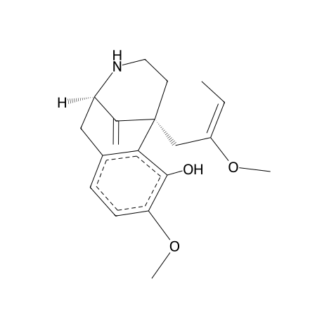 C=C1[C@H]2Cc3ccc(OC)c(O)c3[C@]1(C/C(=C\C)OC)CCN2